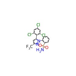 NS(=O)(=O)c1ccccc1-n1nc(C(F)(F)F)cc1-c1c(Cl)cc(Cl)cc1Cl